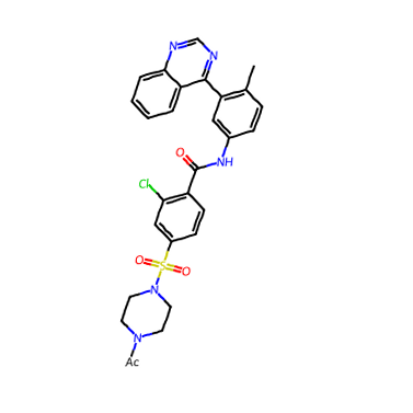 CC(=O)N1CCN(S(=O)(=O)c2ccc(C(=O)Nc3ccc(C)c(-c4ncnc5ccccc45)c3)c(Cl)c2)CC1